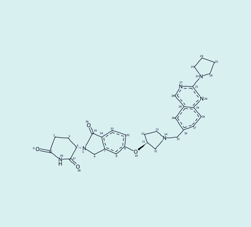 O=C1CC[C@H](N2Cc3cc(O[C@H]4CCN(Cc5ccc6nc(N7CCCC7)ncc6c5)C4)ccc3C2=O)C(=O)N1